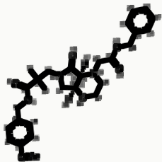 COc1ccc(COC(=O)C(C)(C)CN2C[C@@H]3OCCN(CC(=O)OCc4ccccc4)[C@@H]3C2=O)cc1